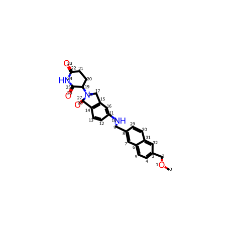 COCc1ccc2cc(CNc3ccc4c(c3)CN(C3CCC(=O)NC3=O)C4=O)ccc2c1